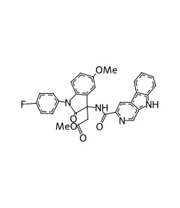 COC(=O)CC1(NC(=O)c2cc3c(cn2)[nH]c2ccccc23)C(=O)N(c2ccc(F)cc2)c2ccc(OC)cc21